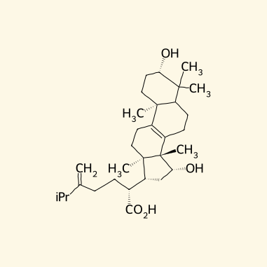 C=C(CC[C@@H](C(=O)O)[C@H]1C[C@@H](O)[C@@]2(C)C3=C(CC[C@]12C)[C@@]1(C)CC[C@H](O)C(C)(C)C1CC3)C(C)C